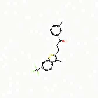 Cc1[c]c(C(=O)CCc2sc3cc(C(F)(F)F)ccc3c2C)ccc1